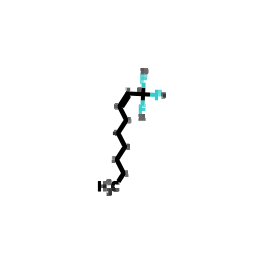 CCCCCC/C=C\C(F)(F)F